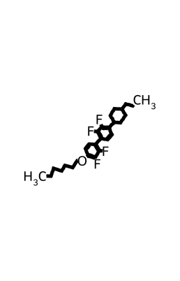 CCCCCCCOc1ccc(-c2ccc(C3CCC(CCC)CC3)c(F)c2F)c(F)c1F